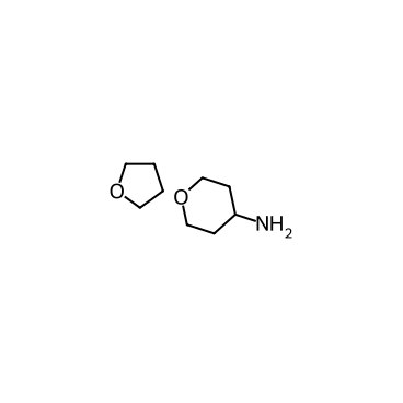 C1CCOC1.NC1CCOCC1